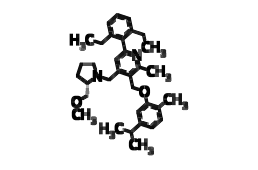 CCc1cccc(CC)c1-c1cc(CN2CCC[C@H]2COC)c(COc2cc(C(C)C)ccc2C)c(C)n1